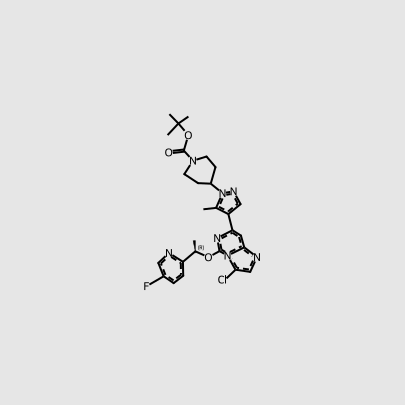 Cc1c(-c2cc3ncc(Cl)n3c(O[C@H](C)c3ccc(F)cn3)n2)cnn1C1CCN(C(=O)OC(C)(C)C)CC1